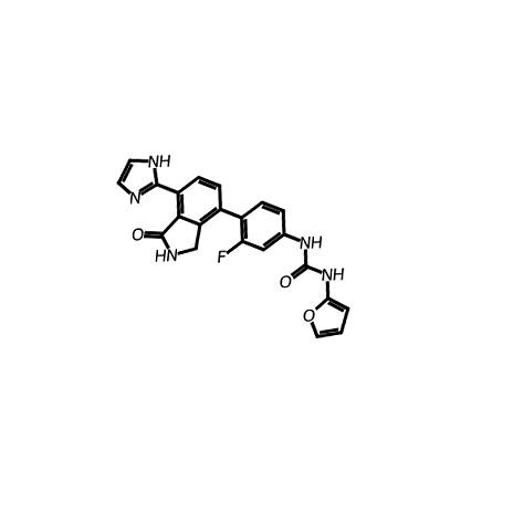 O=C(Nc1ccc(-c2ccc(-c3ncc[nH]3)c3c2CNC3=O)c(F)c1)Nc1ccco1